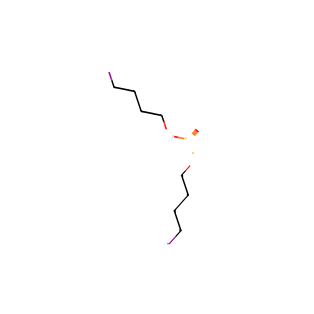 O=[PH](OCCCCI)OCCCCI